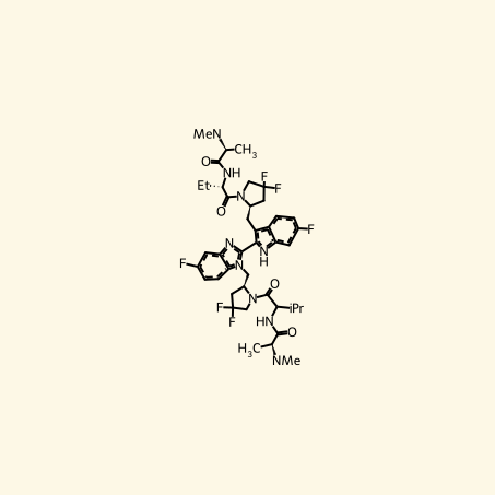 CC[C@H](NC(=O)[C@H](C)NC)C(=O)N1CC(F)(F)C[C@H]1Cc1c(-c2nc3cc(F)ccc3n2C[C@@H]2CC(F)(F)CN2C(=O)C(NC(=O)[C@H](C)NC)C(C)C)[nH]c2cc(F)ccc12